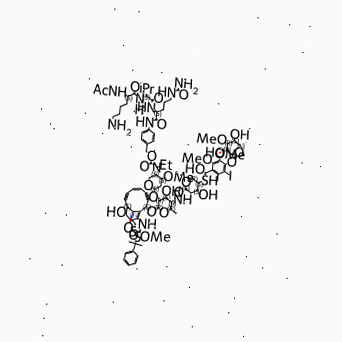 CCN(C(=O)OCc1ccc(NC(=O)[C@H](CCCNC(N)=O)NC(=O)[C@@H](NC(=O)[C@H](CCCCN)NC(C)=O)C(C)C)cc1)[C@H]1CO[C@@H](O[C@H]2[C@H](O[C@H]3C#CC=CC#C[C@]4(O)CC(=O)C(NC(=O)OC)=C3/C4=C\CSSC(C)(C)c3ccccc3)O[C@H](C)[C@@H](NO[C@H]3C[C@H](O)[C@H]([SH]=C(O)c4c(C)c(I)c(O[C@@H]5O[C@@H](C)[C@H](O)[C@@H](OC)[C@H]5O)c(OC)c4OC)[C@@H](C)O3)[C@@H]2O)C[C@@H]1OC